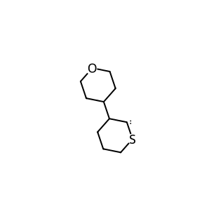 [C]1SCCCC1C1CCOCC1